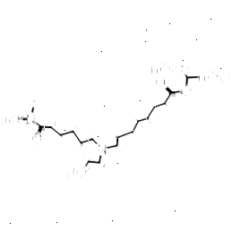 CCCCCCCCC(CCCCCCCC)OC(=O)CCCCCCCN(CCO)CCCCCC(=O)N(C)CCCCCCCC